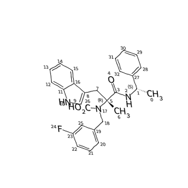 C[C@H](NC(=O)[C@@](C)(Cc1c[nH]c2ccccc12)N(Cc1cccc(F)c1)C(=O)O)c1ccccc1